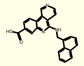 O=C(O)c1ccc2c(c1)nc(NCc1cccc3ccccc13)c1ccncc12